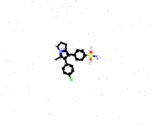 Cc1c(-c2ccc(Cl)cc2)c(-c2ccc(S(N)(=O)=O)cc2)c2n1CCC2